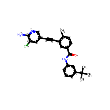 Cc1ccc(C(=O)Nc2cccc(C(C)(C)C#N)c2)cc1C#Cc1cnc(N)c(Cl)c1